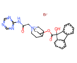 O=C(C[N+]12CCC(CC1)C(OC(=O)C1(O)c3ccccc3-c3ccccc31)C2)Nc1ncncn1.[Br-]